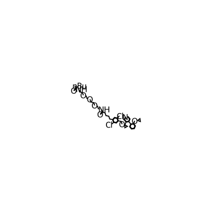 CCCCC(=O)NCCOCCOCCOCCNC(=O)CCCCc1cc(Cl)c(COC2(c3cnccc3-c3ccccc3OC3CC3)CC2)cc1Cl